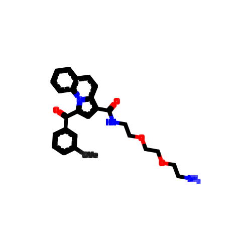 COc1cccc(C(=O)c2cc(C(=O)NCCOCCOCCN)c3ccc4ccccc4n23)c1